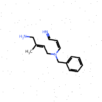 C/C(=C\CN(/C=C\C=N)Cc1ccccc1)CN